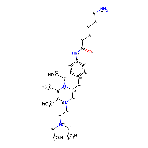 NCCCCCC(=O)Nc1ccc(CC(CN(CCN(CC(=O)O)CC(=O)O)CC(=O)O)N(CC(=O)O)CC(=O)O)cc1